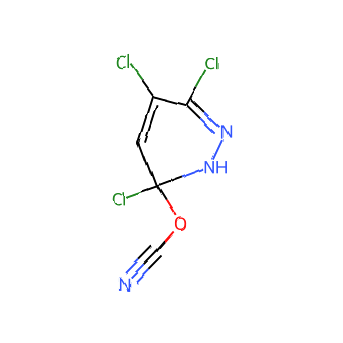 N#COC1(Cl)C=C(Cl)C(Cl)=NN1